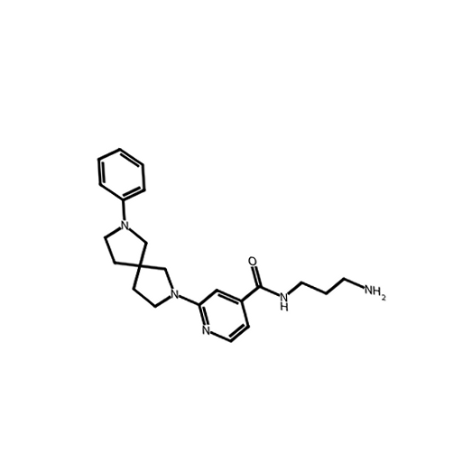 NCCCNC(=O)c1ccnc(N2CCC3(CCN(c4ccccc4)C3)C2)c1